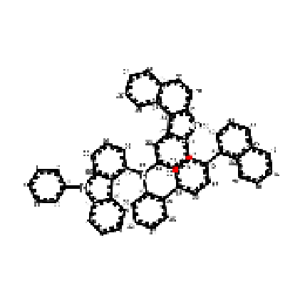 c1ccc(-n2c3ccccc3c3c(N(c4ccc5oc6ccc7ccccc7c6c5c4)c4ccccc4-c4ccc(-c5cccc6ccccc56)cc4)cccc32)cc1